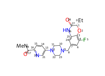 CC[C@@H]1Oc2c(F)cc(CN3CCN(c4ccc(C(=O)NC)nc4)CC3)cc2NC1=O